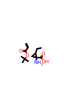 C=CC(=O)OC(C)(C)C.CCC1CC1(N)C(=O)O